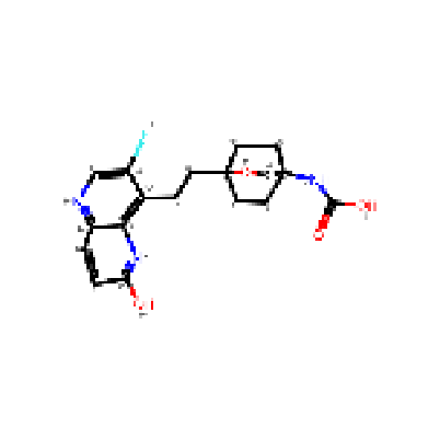 O=C(O)NC12CCC(CCc3c(F)cnc4ccc(O)nc34)(CC1)OC2